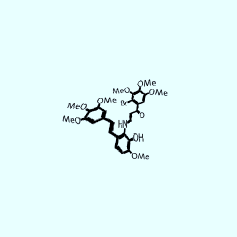 COc1ccc(C=Cc2cc(OC)c(OC)c(OC)c2)c(NC=CC(=O)c2cc(OC)c(OC)c(OC)c2Br)c1O